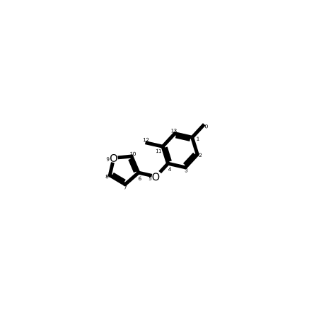 Cc1ccc(Oc2ccoc2)c(C)c1